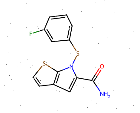 NC(=O)c1cc2ccsc2n1Sc1cccc(F)c1